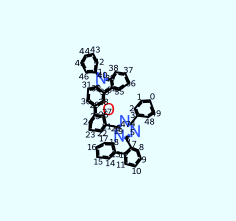 c1ccc(-c2nc(-c3ccccc3-c3ccccc3)nc(-c3cccc4c3oc3c4ccc4c3c3ccccc3n4-c3ccccc3)n2)cc1